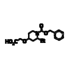 CCC1CC(OCC(=O)O)CCN1C(=O)OCc1ccccc1